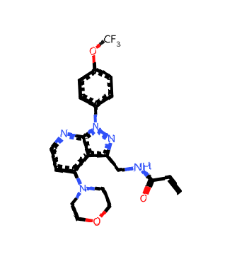 C=CC(=O)NCc1nn(-c2ccc(OC(F)(F)F)cc2)c2nccc(N3CCOCC3)c12